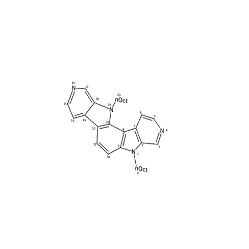 CCCCCCCCn1c2cnccc2c2c1ccc1c3ccncc3n(CCCCCCCC)c12